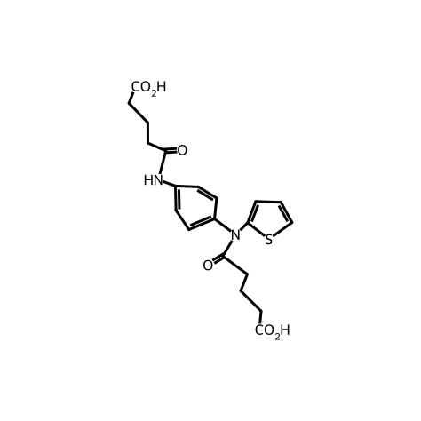 O=C(O)CCCC(=O)Nc1ccc(N(C(=O)CCCC(=O)O)c2cccs2)cc1